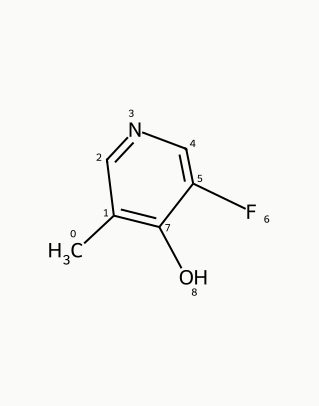 Cc1cncc(F)c1O